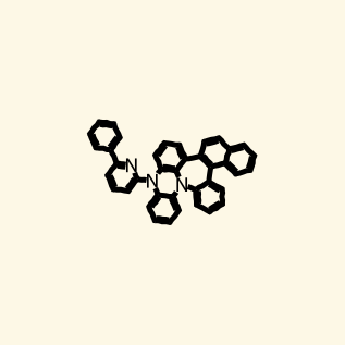 c1ccc(-c2cccc(N3c4ccccc4N4c5ccccc5-c5c(ccc6ccccc56)-c5cccc3c54)n2)cc1